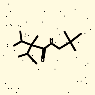 CC(C)C(C)(C(=O)NCC(C)(C)C)C(C)C